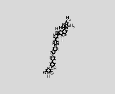 CCN(C)S(=O)(=O)Nc1ccc(F)c(C(O)c2c[nH]c3ncc(-c4cnc(N5CCC(CC(=O)N6CCC(c7ccc(NC8CCC(=O)NC8=O)cc7)CC6)CC5)nc4)cc23)c1F